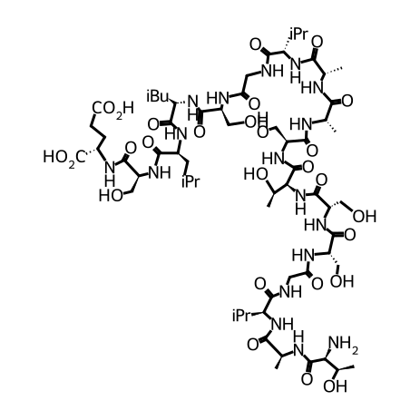 CC[C@H](C)[C@H](NC(=O)[C@H](CO)NC(=O)CNC(=O)[C@@H](NC(=O)[C@H](C)NC(=O)[C@H](C)NC(=O)[C@H](CO)NC(=O)[C@@H](NC(=O)[C@H](CO)NC(=O)[C@H](CO)NC(=O)CNC(=O)[C@@H](NC(=O)[C@H](C)NC(=O)[C@@H](N)[C@@H](C)O)C(C)C)[C@@H](C)O)C(C)C)C(=O)N[C@@H](CC(C)C)C(=O)N[C@@H](CO)C(=O)N[C@@H](CCC(=O)O)C(=O)O